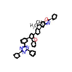 CC1(C)c2cc(-c3ccc(-c4cccc(-c5nc(-c6ccccc6)nc(-c6ccccc6)n5)c4)c4c3oc3ccccc34)ccc2-c2cc3nc(-c4ccccc4)oc3cc21